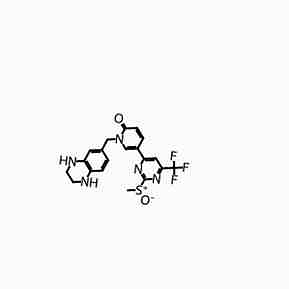 C[S+]([O-])c1nc(-c2ccc(=O)n(Cc3ccc4c(c3)NCCN4)c2)cc(C(F)(F)F)n1